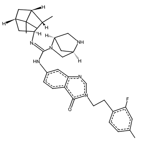 Cc1ccc(CCn2cnc3cc(N/C(=N/[C@H]4C[C@@H]5C[C@H]([C@@H]4C)C5(C)C)N4C[C@H]5C[C@@H]4CN5)ccc3c2=O)c(F)c1